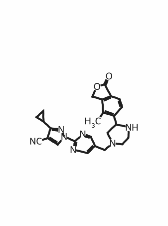 Cc1c(C2CN(Cc3cnc(-n4cc(C#N)c(C5CC5)n4)nc3)CCN2)ccc2c1COC2=O